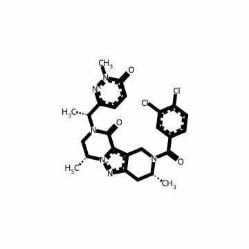 C[C@@H]1Cc2nn3c(c2CN1C(=O)c1ccc(Cl)c(Cl)c1)C(=O)N([C@H](C)c1ccc(=O)n(C)n1)C[C@H]3C